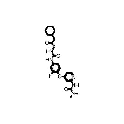 CN(C)C(=O)Nc1cc(Oc2ccc(NC(=O)NSC(=O)CC3CCCCC3)cc2F)ccn1